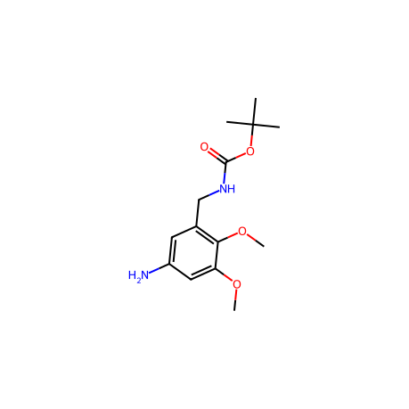 COc1cc(N)cc(CNC(=O)OC(C)(C)C)c1OC